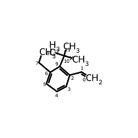 C=Cc1cccc(CC)c1C(C)(C)C